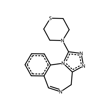 C1=NCc2nnc(N3CCSCC3)n2-c2ccccc21